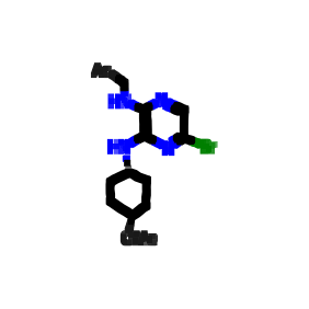 CO[C@H]1CC[C@H](Nc2nc(Br)cnc2NCC(C)=O)CC1